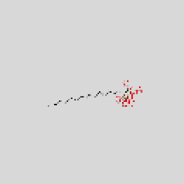 CCCCCCCCC=CCCCCCCC(C(=O)O)S(=O)(=O)O